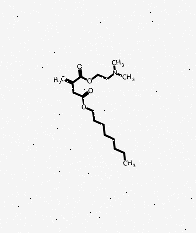 C=C(CC(=O)OCCCCCCCC)C(=O)OCCN(C)C